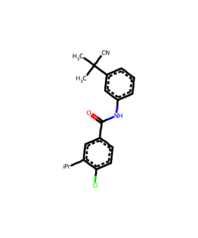 CC(C)c1cc(C(=O)Nc2cccc(C(C)(C)C#N)c2)ccc1Cl